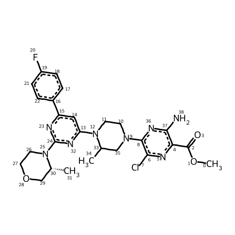 COC(=O)c1nc(Cl)c(N2CCN(c3cc(-c4ccc(F)cc4)nc(N4CCOC[C@H]4C)n3)C(C)C2)nc1N